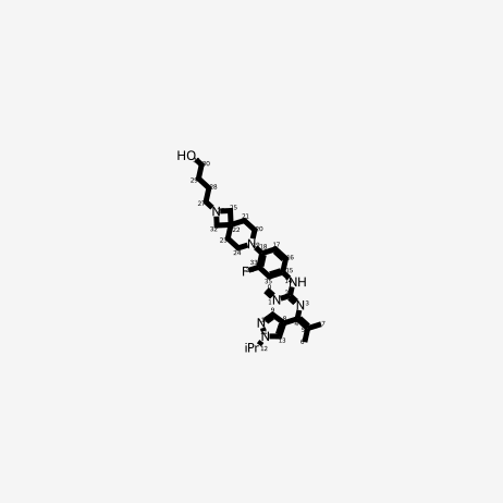 C=N/C(=N\C(=C(C)C)c1cnn(C(C)C)c1)Nc1ccc(N2CCC3(CC2)CN(CCCCO)C3)c(F)c1